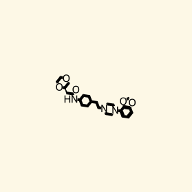 O=C(C[C@@H]1COCCO1)NC1CCC(CCN2CCN(c3cccc4c3OCO4)CC2)CC1